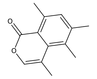 Cc1cc(C)c2c(=O)occ(C)c2c1C